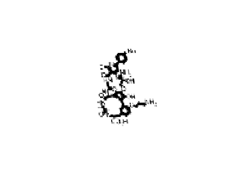 C[C@@H]1NC(=O)[C@@H](N(C)C(=O)CNC(=O)c2c(N)cc(-c3ccc(C(C)(C)C)cc3)nc2Cl)c2cc(OC[C@H](O)CN)c(O)c(c2)-c2cc(ccc2OCCCN)C[C@@H](C(=O)O)NC1=O